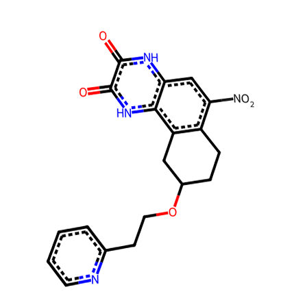 O=c1[nH]c2cc([N+](=O)[O-])c3c(c2[nH]c1=O)CC(OCCc1ccccn1)CC3